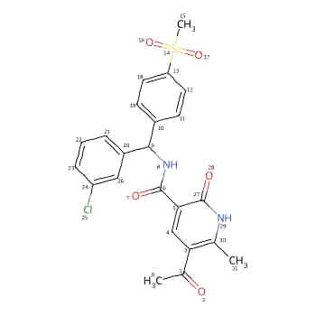 CC(=O)c1cc(C(=O)NC(c2ccc(S(C)(=O)=O)cc2)c2cccc(Cl)c2)c(=O)[nH]c1C